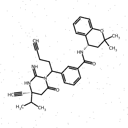 C#CCCC(c1cccc(C(=O)N[C@H]2CC(C)(C)Oc3ccccc32)c1)N1C(=N)N[C@](C#C)(C(C)C)CC1=O